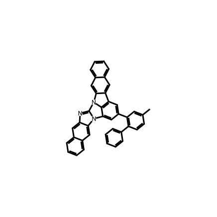 Cc1ccc(-c2ccccc2)c(-c2cc3c4cc5ccccc5cc4n4c3c(c2)n2c3cc5ccccc5cc3nc24)c1